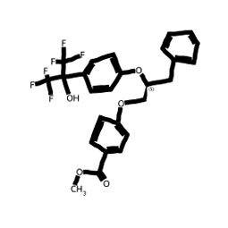 COC(=O)c1ccc(OC[C@H](Cc2ccccc2)Oc2ccc(C(O)(C(F)(F)F)C(F)(F)F)cc2)cc1